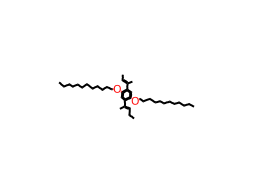 CC=C(C)c1cc(OCCCCCCCCCCCC)c(C(C)=CCC)cc1OCCCCCCCCCCCC